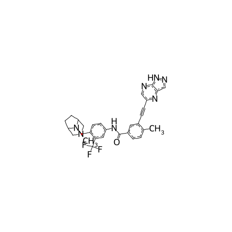 Cc1ccc(C(=O)Nc2ccc(CN3C4CCC3CN(C)C4)c(C(F)(F)F)c2)cc1C#Cc1cnc2[nH]ncc2n1